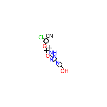 CC1(C)[C@H](NC(=O)c2ncc(N3CCC(CO)CC3)cn2)C(C)(C)[C@H]1Oc1ccc(C#N)c(Cl)c1